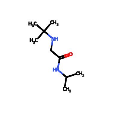 CC(C)NC(=O)CNC(C)(C)C